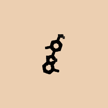 Cc1cc([N+](=O)[O-])ccc1-c1nc2cccc(C)c2o1